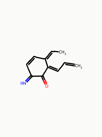 C=C/C=C1/C(=O)C(=N)C=C/C1=C/C